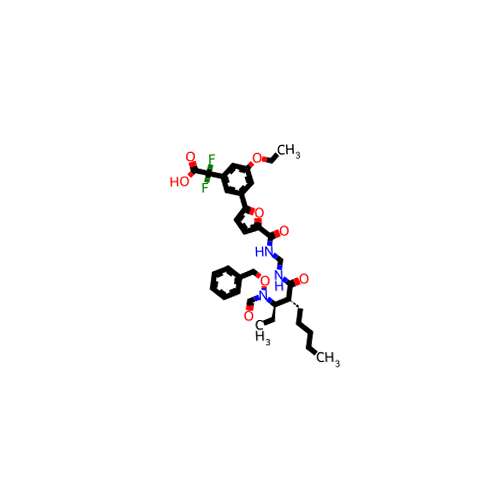 CCCCC[C@@H](C(=O)NCNC(=O)c1ccc(-c2cc(OCC)cc(C(F)(F)C(=O)O)c2)o1)[C@@H](CC)N(C=O)OCc1ccccc1